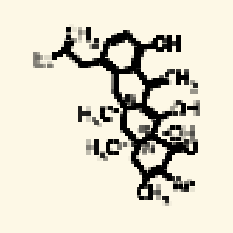 C=C(CC)Cc1ccc(O)c2c1C[C@]1(C)C[C@]3(C)CC(C)=C(C(C)=O)C(=O)[C@]3(O)C(O)=C1C2=C